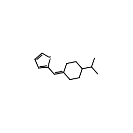 CC(C)C1CCC(=Cc2cccs2)CC1